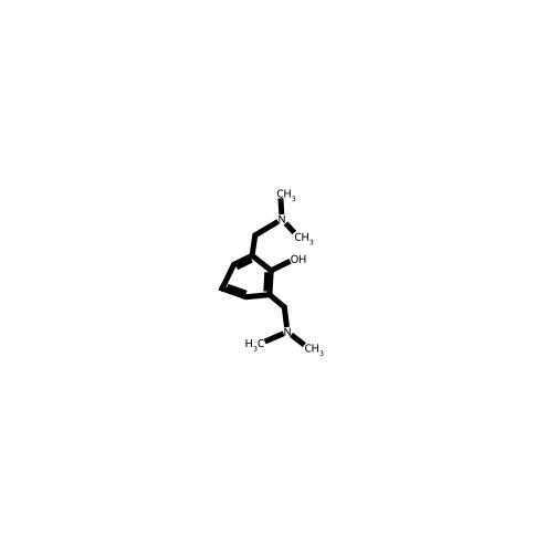 CN(C)Cc1cccc(CN(C)C)c1O